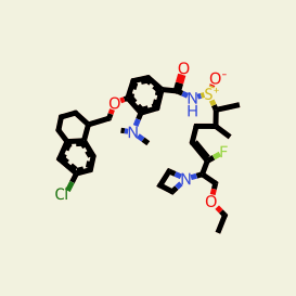 CCOCC(/C(F)=C/CC(C)C(C)[S+]([O-])NC(=O)c1ccc(OCC2CCCc3cc(Cl)ccc32)c(N(C)C)c1)N1CCC1